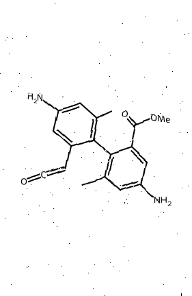 COC(=O)c1cc(N)cc(C)c1-c1c(C)cc(N)cc1C=C=O